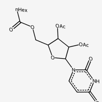 CCCCCCC(=O)OCC1OC(n2ccc(=O)[nH]c2=O)C(OC(C)=O)C1OC(C)=O